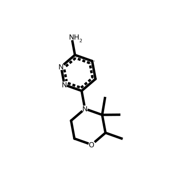 CC1OCCN(c2c[c]c(N)nn2)C1(C)C